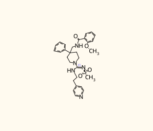 COc1ccccc1C(=O)NCC1(c2ccccc2)CCN(/C(=N/S(C)(=O)=O)NCCc2ccncc2)CC1